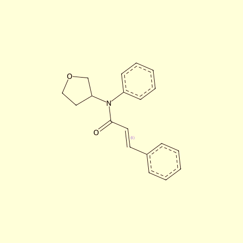 O=C(/C=C/c1ccccc1)N(c1ccccc1)C1CCOC1